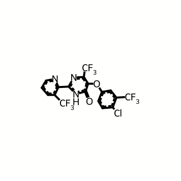 O=c1[nH]c(-c2ncccc2C(F)(F)F)nc(C(F)(F)F)c1Oc1ccc(Cl)c(C(F)(F)F)c1